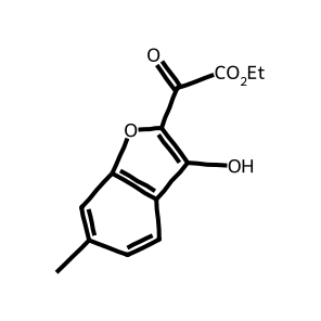 CCOC(=O)C(=O)c1oc2cc(C)ccc2c1O